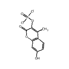 Cc1c(OP(=O)(Cl)Cl)c(=O)oc2cc(O)ccc12